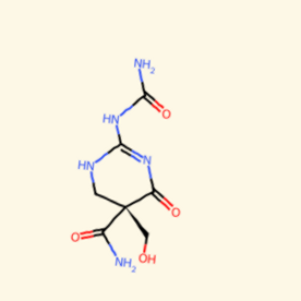 NC(=O)NC1=NC(=O)[C@](CO)(C(N)=O)CN1